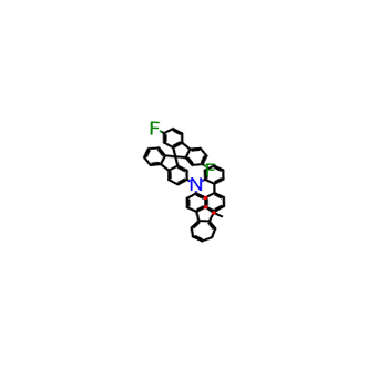 CC1(C)C2=CCC=CC=C2c2ccc(N(c3ccc4c(c3)C3(c5ccccc5-4)c4cc(F)ccc4-c4ccc(F)cc43)c3ccccc3-c3ccccc3)cc21